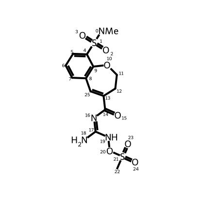 CNS(=O)(=O)c1cccc2c1OCCC(C(=O)N=C(N)NOS(C)(=O)=O)=C2